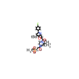 CC(C)(C)c1cc(-c2ccc(F)cc2)nc2cc(C(=O)N3CCN(C(=O)CCS(C)(=O)=O)CC3(C)C)oc12